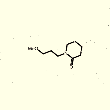 COCCCN1CCCCC1=O